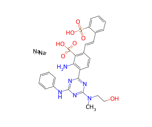 CN(CCO)c1nc(Nc2ccccc2)nc(-c2ccc(C=Cc3ccccc3S(=O)(=O)O)c(S(=O)(=O)O)c2N)n1.[Na].[Na]